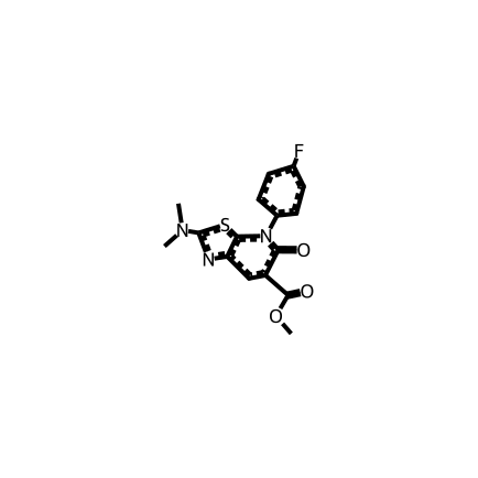 COC(=O)c1cc2nc(N(C)C)sc2n(-c2ccc(F)cc2)c1=O